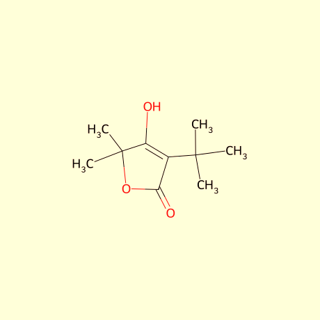 CC(C)(C)C1=C(O)C(C)(C)OC1=O